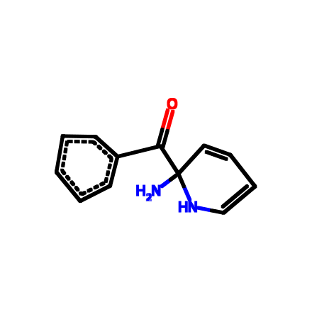 NC1(C(=O)c2ccccc2)C=CC=CN1